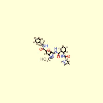 Cn1cccc1C(=O)Nc1ccccc1C(=O)Nc1nn(C(=O)O)c2cc(C(=O)NC(C)(C)c3ccccc3)oc12